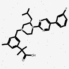 Cc1cc(CN2CCN(c3ncc(-c4cccc(F)c4)cn3)[C@H](CC(C)C)C2)cc(C(C)(C)C(=O)O)c1